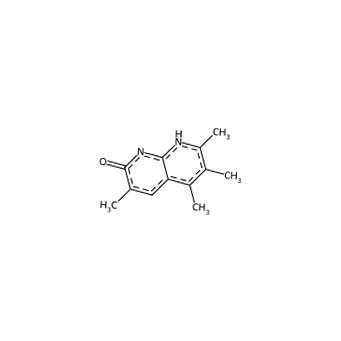 Cc1[nH]c2nc(=O)c(C)cc-2c(C)c1C